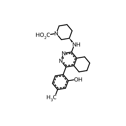 Cc1ccc(-c2nnc(N[C@@H]3CCCN(C(=O)O)C3)c3c2CCCC3)c(O)c1